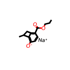 CCCOC(=O)c1ccc([O-])c2c1CC2C.[Na+]